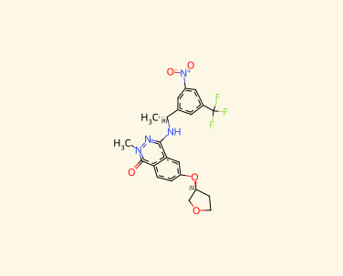 C[C@@H](Nc1nn(C)c(=O)c2ccc(O[C@H]3CCOC3)cc12)c1cc([N+](=O)[O-])cc(C(F)(F)F)c1